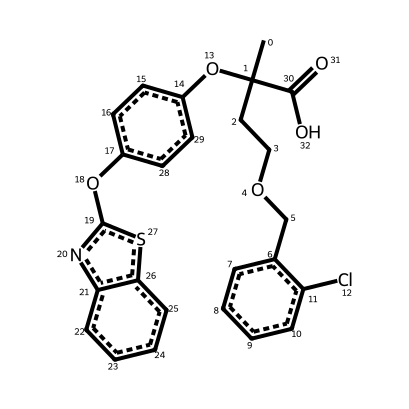 CC(CCOCc1ccccc1Cl)(Oc1ccc(Oc2nc3ccccc3s2)cc1)C(=O)O